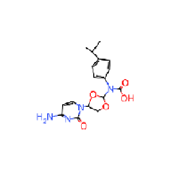 CC(C)c1ccc(N(C(=O)O)C2OCC(n3ccc(N)nc3=O)O2)cc1